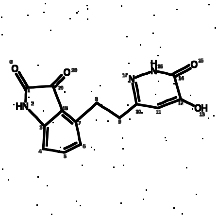 O=C1Nc2cccc(CCc3cc(O)c(=O)[nH]n3)c2C1=O